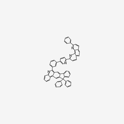 c1ccc(-c2ccc3ccc4ccc(-c5ccc(-c6cccc(-c7nc8ccccc8c8cc9c(cc78)-c7ccccc7C9(c7ccccc7)c7ccccc7)c6)cn5)nc4c3n2)cc1